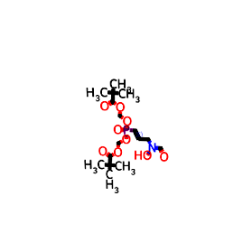 CC(C)(C)C(=O)OCOP(=O)(/C=C/CN(O)C=O)OCOC(=O)C(C)(C)C